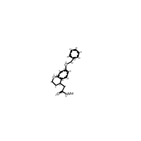 CNC(=O)CC1CCOc2cc(OCc3ccccc3)ccc21